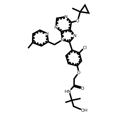 Cc1ccnc(Cn2c(-c3ccc(OCC(=O)NC(C)(C)CO)cc3Cl)nc3c(OC4(C)CC4)ncnc32)c1